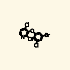 Oc1nccc(Cl)c1Oc1cc(Cl)cc(Br)c1